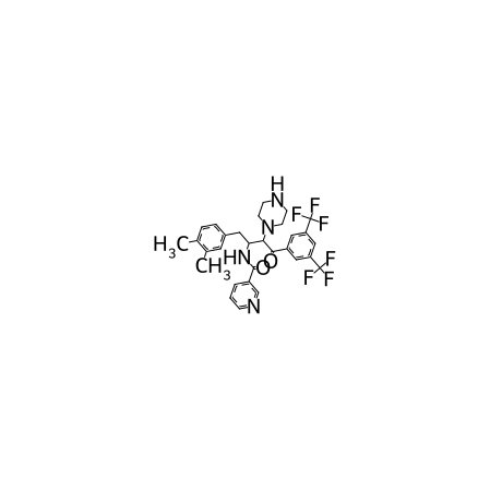 Cc1ccc(CC(NC(=O)c2cccnc2)C(C(=O)c2cc(C(F)(F)F)cc(C(F)(F)F)c2)N2CCNCC2)cc1C